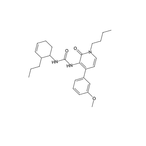 CCCCn1ccc(-c2cccc(OC)c2)c(NC(=O)NC2CCC=CC2CCC)c1=O